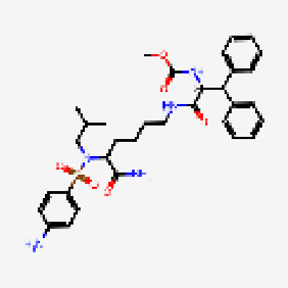 COC(=O)N[C@H](C(=O)NCCCCC(C(N)=O)N(CC(C)C)S(=O)(=O)c1ccc(N)cc1)C(c1ccccc1)c1ccccc1